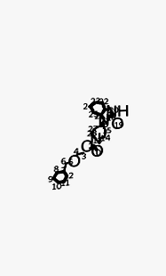 O=C(OCCOCc1ccccc1)N1CCC(n2c(=O)[nH]c3ccccc32)CC1